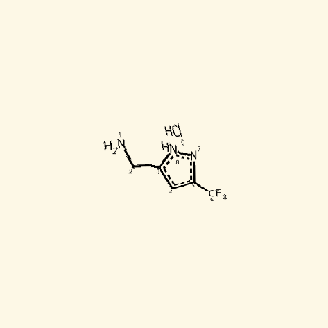 Cl.NCc1cc(C(F)(F)F)n[nH]1